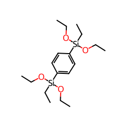 CCO[Si](CC)(OCC)c1ccc([Si](CC)(OCC)OCC)cc1